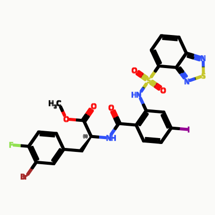 COC(=O)[C@H](Cc1ccc(F)c(Br)c1)NC(=O)c1ccc(I)cc1NS(=O)(=O)c1cccc2nsnc12